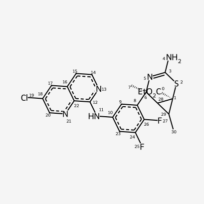 CCOC(=O)[C@@]12SC(N)=N[C@](C)(c3cc(Nc4nccc5cc(Cl)cnc45)cc(F)c3F)C1C2C